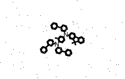 Cc1cc(N(c2cccc(-c3ccccc3)c2)c2ccc3c(c2)C(C)(C)c2ccccc2-3)ccc1N(c1cccc(-c2ccccc2)c1)c1cccc(-c2ccccc2)c1